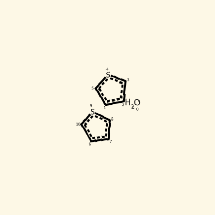 O.c1ccsc1.c1ccsc1